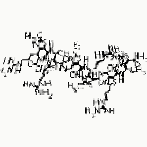 CC(=O)N[C@@H](CCCNC(=N)N)c1nc(C)sc1C(=O)N[C@@H](C)c1nc(CCCNC(=N)N)sc1C(=O)N[C@@H](C)c1nc(C)sc1C(=O)N[C@@H](CCCNC(=N)N)c1nc(C)sc1C(=O)N[C@@H](C)c1nc(CCCNC(=N)N)sc1C(=O)N[C@@H](C)c1nc(C)sc1C(N)=O